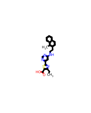 CCc1nc(-c2cc(NCCc3ccc4ccccc4c3C)ncn2)sc1C(=O)O